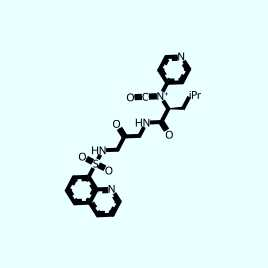 CC(C)C[C@@H](C(=O)NCC(=O)CNS(=O)(=O)c1cccc2cccnc12)[N+](=C=O)c1ccncc1